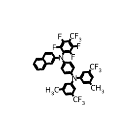 Cc1cc(N(c2ccc(N(c3ccc4ccccc4c3)c3c(F)c(F)c(C(F)(F)F)c(F)c3F)cc2)c2cc(C)cc(C(F)(F)F)c2)cc(C(F)(F)F)c1